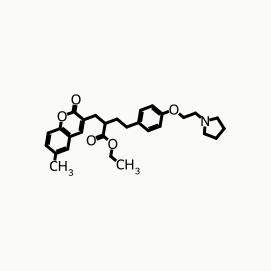 CCOC(=O)C(CCc1ccc(OCCN2CCCC2)cc1)Cc1cc2cc(C)ccc2oc1=O